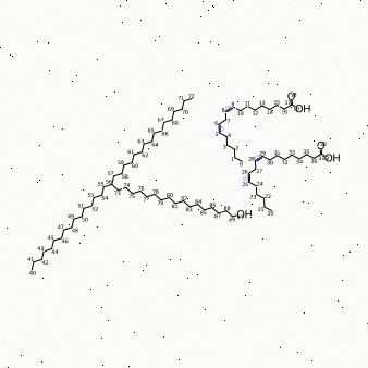 CCCCC/C=C\C/C=C\CCCCCCCC(=O)O.CCCCC/C=C\C/C=C\CCCCCCCC(=O)O.CCCCCCCCCCCCCCCCC(CCCCCCCCCCCCCCCC)CCCCCCCCCCCCCCCCCO